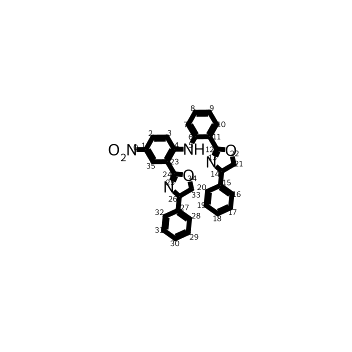 O=[N+]([O-])c1ccc(Nc2ccccc2C2=NC(c3ccccc3)CO2)c(C2=NC(c3ccccc3)CO2)c1